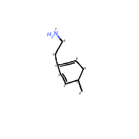 CC1C=CC(CCN)=CC1